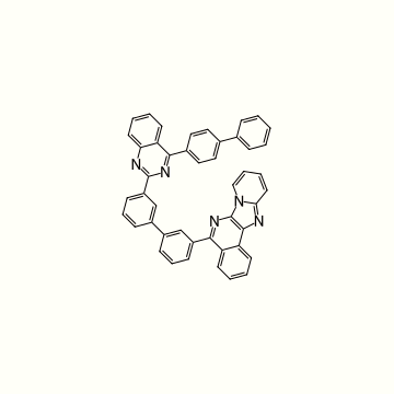 c1ccc(-c2ccc(-c3nc(-c4cccc(-c5cccc(-c6nc7c(nc8ccccn87)c7ccccc67)c5)c4)nc4ccccc34)cc2)cc1